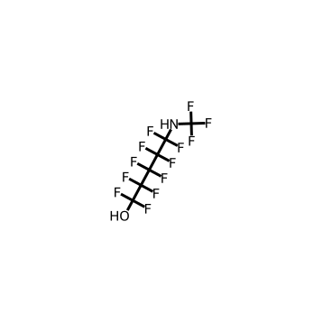 OC(F)(F)C(F)(F)C(F)(F)C(F)(F)C(F)(F)NC(F)(F)F